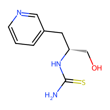 NC(=S)N[C@@H](CO)Cc1cccnc1